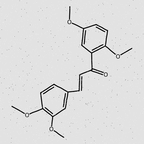 COc1ccc(OC)c(C(=O)/C=C/c2ccc(OC)c(OC)c2)c1